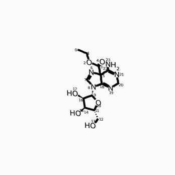 CCOC(=O)C12N=CN([C@@H]3O[C@H](CO)[C@@H](O)[C@H]3O)C1=NCN=C2N